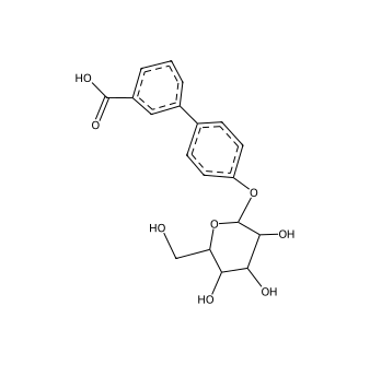 O=C(O)c1cccc(-c2ccc(OC3OC(CO)C(O)C(O)C3O)cc2)c1